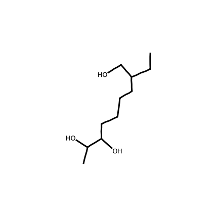 CCC(CO)CCCCC(O)C(C)O